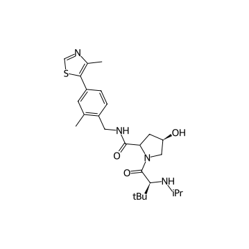 Cc1cc(-c2scnc2C)ccc1CNC(=O)C1C[C@@H](O)CN1C(=O)[C@@H](NC(C)C)C(C)(C)C